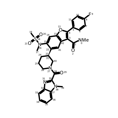 CNC(=O)c1c(-c2ccc(F)cc2)oc2cc(N(C)S(C)(=O)=O)c([C@@H]3CCCN(C(=O)c4nc5ccccc5n4C)C3)cc12